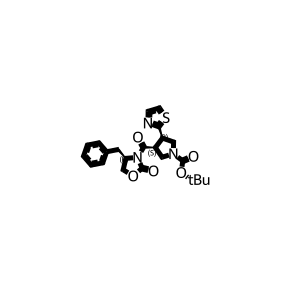 CC(C)(C)OC(=O)N1C[C@H](c2nccs2)[C@H](C(=O)N2C(=O)OC[C@H]2Cc2ccccc2)C1